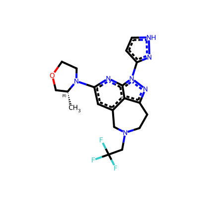 C[C@@H]1COCCN1c1cc2c3c(nn(-c4cc[nH]n4)c3n1)CCN(CC(F)(F)F)C2